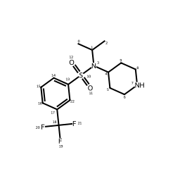 CC(C)N(C1CCNCC1)S(=O)(=O)c1cccc(C(F)(F)F)c1